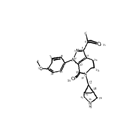 COc1ccc(-n2nc(C(C)=O)c3c2C(=O)N(C2C4CNCC42)CC3)cc1